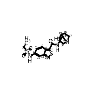 CCS(=O)(=O)Nc1ccc2c(C(=O)N[C@@H]3CN4CCC3CC4)snc2c1